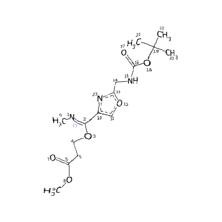 C/N=C(\OCCC(=O)OC)c1coc(CNC(=O)OC(C)(C)C)n1